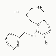 Cl.Clc1ccc2c(c1NCc1ccccn1)CCCNC2